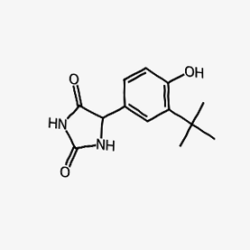 CC(C)(C)c1cc(C2NC(=O)NC2=O)ccc1O